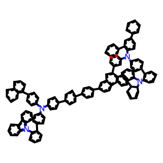 C1=CC2c3ccccc3N(c3ccccc3-c3ccc(N(c4cccc(-c5cc6cc(-c7ccc(-c8ccc(-c9ccc(N(c%10ccc(-c%11ccccc%11-n%11c%12ccccc%12c%12ccccc%12%11)cc%10)c%10ccc(-c%11cccc%12ccccc%11%12)cc%10)cc9)cc8)cc7)ccc6c6ccccc56)c4)c4ccc(-c5ccccc5)cc4-c4ccccc4)cc3)C2C=C1